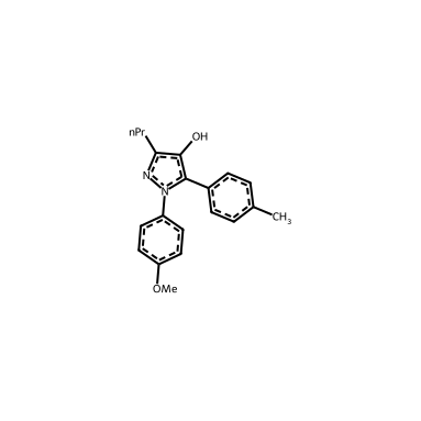 CCCc1nn(-c2ccc(OC)cc2)c(-c2ccc(C)cc2)c1O